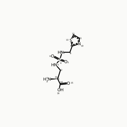 N[C@@H](CNS(=O)(=O)NCc1nccs1)C(=O)O